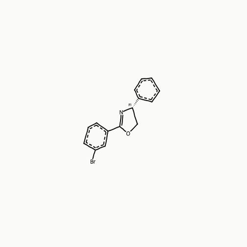 Brc1cccc(C2=N[C@H](c3ccccc3)CO2)c1